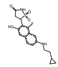 O=C1CN(c2c(O)cc3ccc(NCCC4CC4)cc3c2F)S(=O)(=O)N1